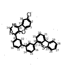 Clc1ccc2oc3c(-c4cccc(-c5cccc(-c6cccc7c6sc6ccccc67)c5)c4)ncnc3c2c1